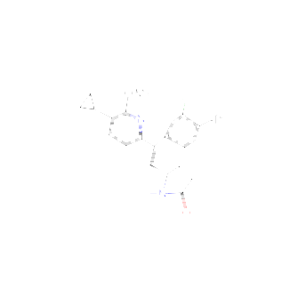 COc1nc(/C(=C/[C@H]2CCC(=O)N2)c2ccc(C(C)C)c(Cl)c2)ccc1C1CC1